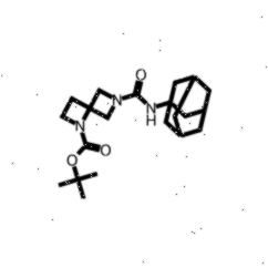 CC(C)(C)OC(=O)N1CCC12CN(C(=O)NC13CC4CC(CC(C4)C1)C3)C2